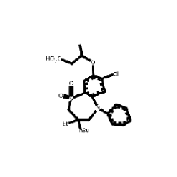 CCCCC1(CC)CN(c2ccccc2)c2cc(Cl)c(OC(C)CC(=O)O)cc2S(=O)(=O)C1